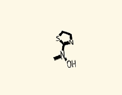 CN(O)C1=NCCS1